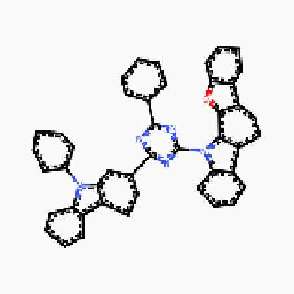 c1ccc(-c2nc(-c3ccc4c5ccccc5n(-c5ccccc5)c4c3)nc(-n3c4ccccc4c4ccc5c6ccccc6oc5c43)n2)cc1